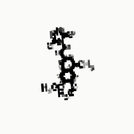 COc1cc2c(cc1OC)C(C)CC(CCN1C(=O)N=NC1=O)=N2